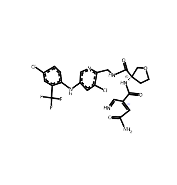 N=C/C(=C\C(N)=O)C(=O)N[C@@]1(C(=O)NCc2ncc(Nc3ccc(Cl)cc3C(F)(F)F)cc2Cl)CCOC1